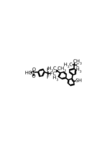 CC(C)(C)c1ccc(-c2cccc(S)c2-c2ccc(C(C)(C)C)cc2)cc1.O=S(=O)(O)c1ccc(C(F)(F)F)cc1